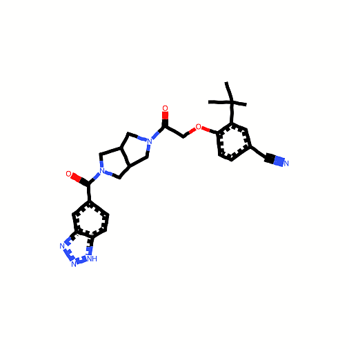 CC(C)(C)c1cc(C#N)ccc1OCC(=O)N1CC2CN(C(=O)c3ccc4[nH]nnc4c3)CC2C1